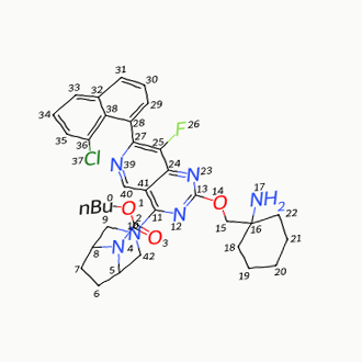 CCCCOC(=O)N1C2CCC1CN(c1nc(OCC3(N)CCCCC3)nc3c(F)c(-c4cccc5cccc(Cl)c45)ncc13)C2